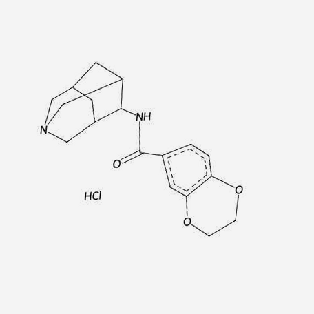 Cl.O=C(NC1C2CC3CC1CN(C3)C2)c1ccc2c(c1)OCCO2